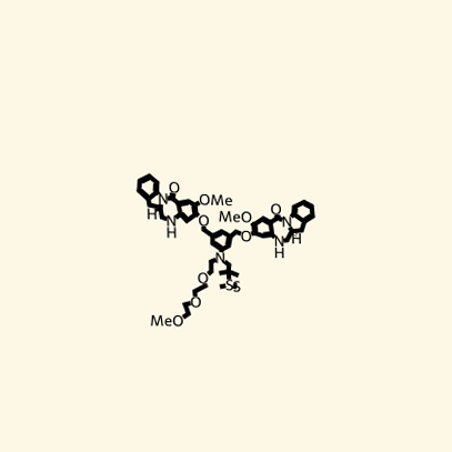 COCCOCCOCCN(CC(C)(C)S(C)=S)c1cc(COc2cc3c(cc2OC)C(=O)N2c4ccccc4C[C@H]2CN3)cc(COc2cc3c(cc2OC)C(=O)N2c4ccccc4C[C@@H]2CN3)c1